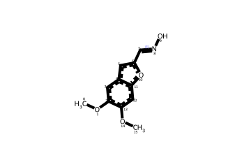 COc1cc2cc(/C=N/O)oc2cc1OC